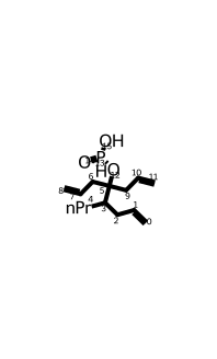 C=CCC(CCC)C(CC=C)(CC=C)O[PH](=O)O